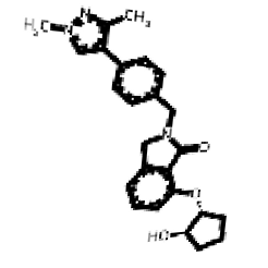 Cc1nn(C)cc1-c1ccc(CN2Cc3cccc(O[C@@H]4CCC[C@H]4O)c3C2=O)cc1